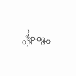 C=CCC[C@@H](C)Oc1ccc(-c2ccc(OC(=O)c3ccccc3)cc2)cc1[N+](=O)[O-]